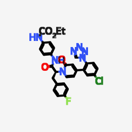 CCOC(=O)Nc1ccc(NC(=O)[C@H](Cc2ccc(F)cc2)n2ccc(-c3cc(Cl)ccc3-n3cnnn3)cc2=O)cc1